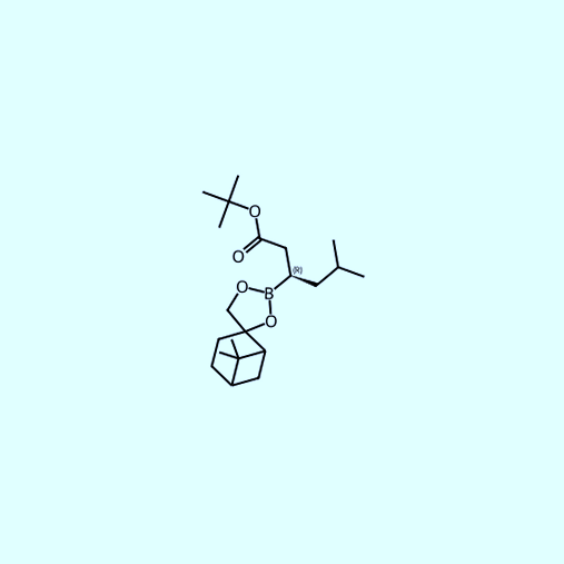 CC(C)C[C@H](CC(=O)OC(C)(C)C)B1OCC2(CCC3CC2C3(C)C)O1